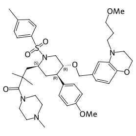 COCCCN1CCOc2ccc(CO[C@H]3CN(S(=O)(=O)c4ccc(C)cc4)[C@H](CC(C)(C)C(=O)N4CCN(C)CC4)C[C@@H]3c3ccc(OC)cc3)cc21